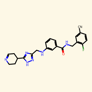 N#Cc1ccc(F)c(CNC(=O)c2cccc(NCc3n[nH]c(C4CC=NCC4)n3)c2)c1